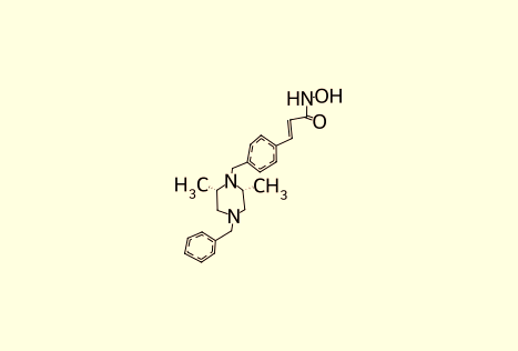 C[C@@H]1CN(Cc2ccccc2)C[C@H](C)N1Cc1ccc(/C=C/C(=O)NO)cc1